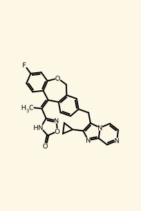 CC(=C1c2ccc(Cc3c(C4CC4)nc4cnccn34)cc2COc2cc(F)ccc21)c1noc(=O)[nH]1